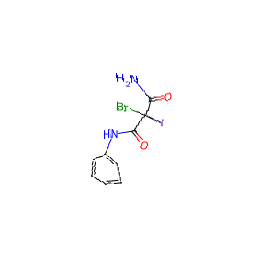 NC(=O)C(Br)(I)C(=O)Nc1ccccc1